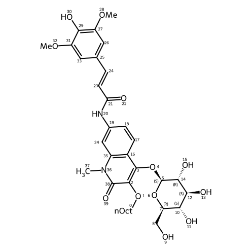 CCCCCCCCOc1c(O[C@@H]2O[C@H](CO)[C@@H](O)[C@H](O)[C@H]2O)c2ccc(NC(=O)C=Cc3cc(OC)c(O)c(OC)c3)cc2n(C)c1=O